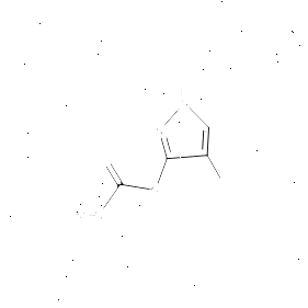 CCc1c[nH]nc1NC(=S)NC